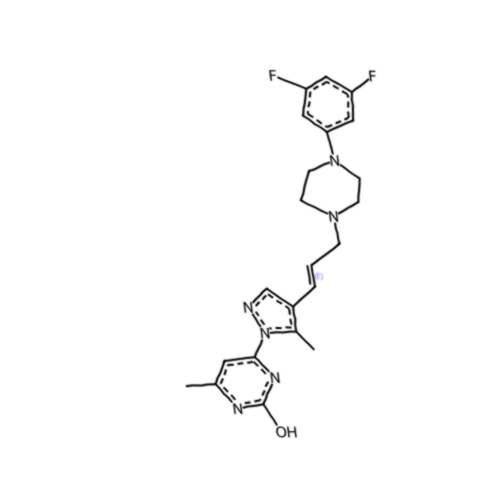 Cc1cc(-n2ncc(/C=C/CN3CCN(c4cc(F)cc(F)c4)CC3)c2C)nc(O)n1